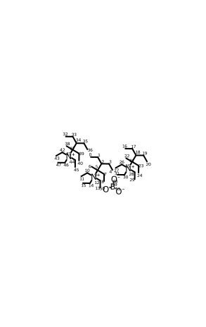 CCC(CC)C(C)(CC)[N+](CC)(CC)CC.CCC(CC)C(C)(CC)[N+](CC)(CC)CC.CCC(CC)C(C)(CC)[N+](CC)(CC)CC.[O-]B([O-])[O-]